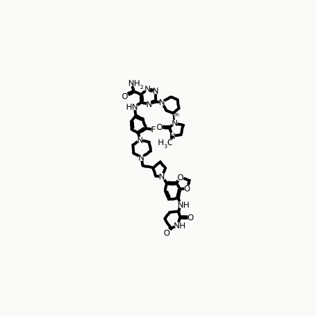 CN1CCN([C@@H]2CCCN(c3nnc(C(N)=O)c(Nc4ccc(N5CCN(CC6CCN(c7ccc(NC8CCC(=O)NC8=O)c8c7OCO8)C6)CC5)c(F)c4)n3)C2)C1=O